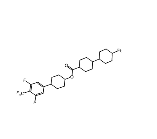 CCC1CCC(C2CCC(C(=O)OC3CCC(c4cc(F)c(C(F)(F)F)c(F)c4)CC3)CC2)CC1